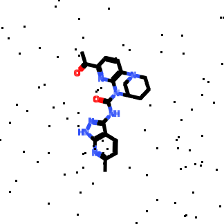 CC(=O)c1ccc2c(n1)N(C(=O)Nc1n[nH]c3nc(C)ccc13)C1CCCN2C1